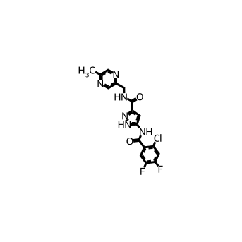 Cc1cnc(CNC(=O)c2cc(NC(=O)c3cc(F)c(F)cc3Cl)[nH]n2)cn1